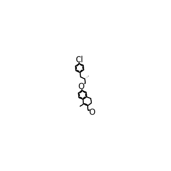 CC1=C(C=O)CCc2cc(OC[C@@H](C)Cc3ccc(Cl)cc3)ccc21